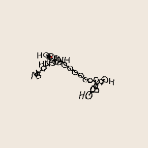 Cc1ncsc1-c1ccc(CNC(=O)[C@@H]2C[C@@H](O)CN2C(=O)C(NC(=O)COCCOCCOCCOCCOc2ccc(C(=O)c3c(-c4ccc(O)cc4)sc4cc(O)ccc34)cc2)C(C)C)cc1